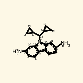 Nc1ccc2c3ccc(N)cc3n(C(C3CC3)C3CC3)c2c1